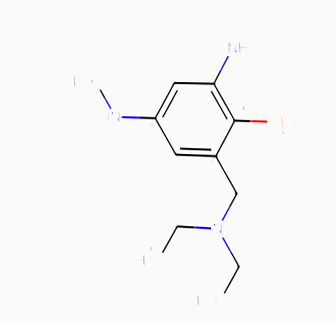 CCN(CC)Cc1cc(NC)cc(N)c1O